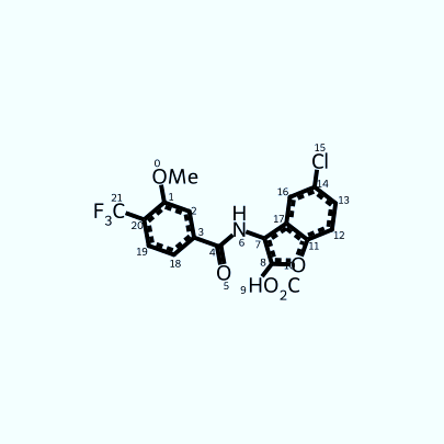 COc1cc(C(=O)Nc2c(C(=O)O)oc3ccc(Cl)cc23)ccc1C(F)(F)F